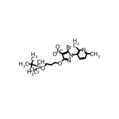 Cc1ccc(-n2nc(OCCCO[Si](C)(C)C(C)(C)C)c([N+](=O)[O-])c2Br)c(C)n1